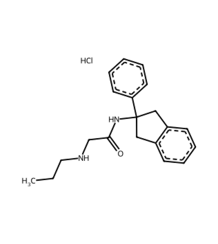 CCCNCC(=O)NC1(c2ccccc2)Cc2ccccc2C1.Cl